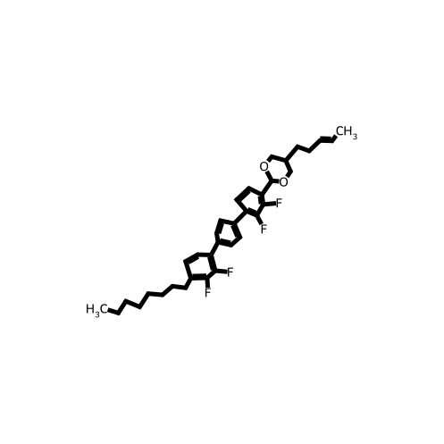 C/C=C/CCC1COC(c2ccc(-c3ccc(-c4ccc(CCCCCCCC)c(F)c4F)cc3)c(F)c2F)OC1